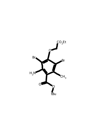 CCOC(=O)COc1c(Br)c(C)c(C(=O)OC(C)(C)C)c(N)c1Br